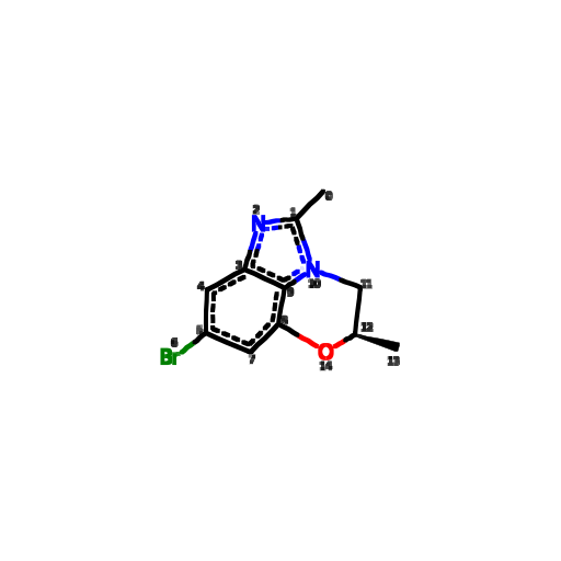 Cc1nc2cc(Br)cc3c2n1C[C@@H](C)O3